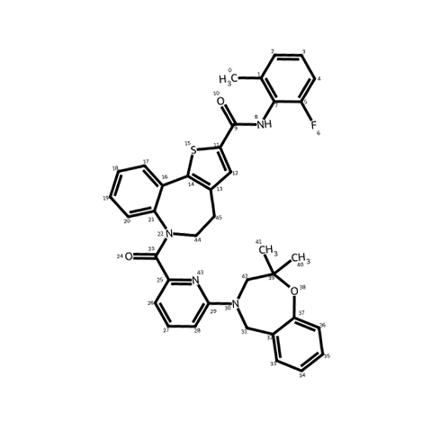 Cc1cccc(F)c1NC(=O)c1cc2c(s1)-c1ccccc1N(C(=O)c1cccc(N3Cc4ccccc4OC(C)(C)C3)n1)CC2